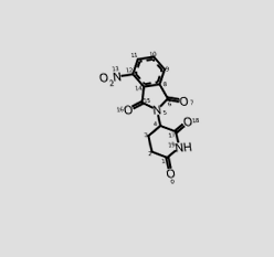 O=C1CCC(N2C(=O)c3cccc([N+](=O)[O-])c3C2=O)C(=O)N1